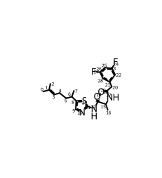 CC(C)=CCCC(C)c1cnc(NC(=O)C(C)NC(=O)Cc2cc(F)cc(F)c2)s1